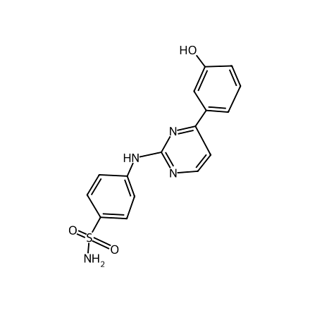 NS(=O)(=O)c1ccc(Nc2nccc(-c3cccc(O)c3)n2)cc1